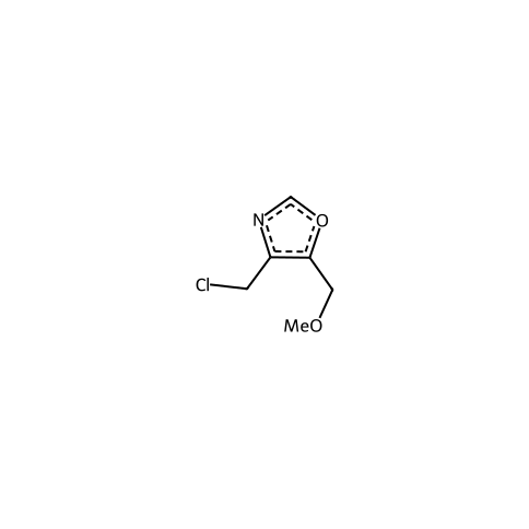 COCc1ocnc1CCl